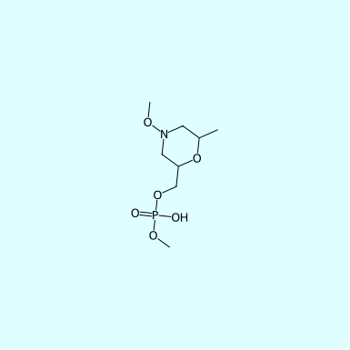 CON1CC(C)OC(COP(=O)(O)OC)C1